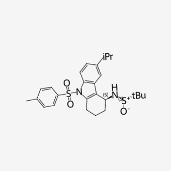 Cc1ccc(S(=O)(=O)n2c3c(c4cc(C(C)C)ccc42)[C@@H](N[S@+]([O-])C(C)(C)C)CCC3)cc1